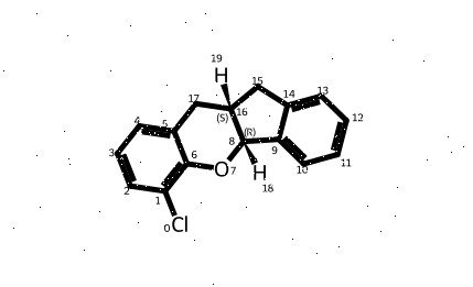 Clc1cccc2c1O[C@H]1c3ccccc3C[C@H]1C2